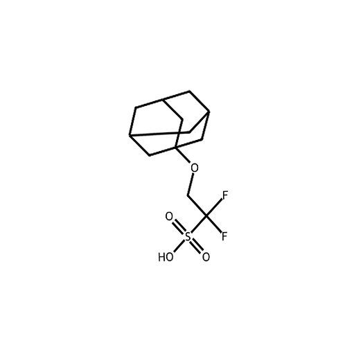 O=S(=O)(O)C(F)(F)COC12CC3CC(CC(C3)C1)C2